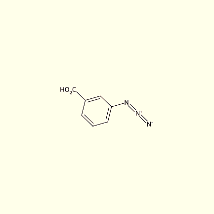 [N-]=[N+]=Nc1cccc(C(=O)O)c1